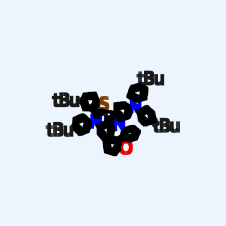 CC(C)(C)c1ccc(N(c2ccc(C(C)(C)C)cc2)c2ccc3c(c2)N(c2cccc4oc5ccccc5c24)c2cccc4c2B3c2sc3ccc(C(C)(C)C)cc3c2N4c2ccc(C(C)(C)C)cc2)cc1